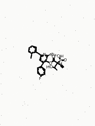 C#CC(C(=O)Oc1c(-c2ccc(F)cc2)cc(-c2ccccc2C)nc1C(C)(C)C)(C(C)O)[PH](=O)O